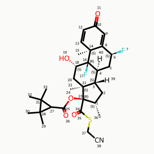 C[C@H]1C[C@H]2[C@@H]3C[C@H](F)C4=CC(=O)C=C[C@]4(C)[C@@]3(F)[C@@H](O)C[C@]2(C)[C@@]1(OC(=O)C1C(C)(C)C1(C)C)C(=O)SCC#N